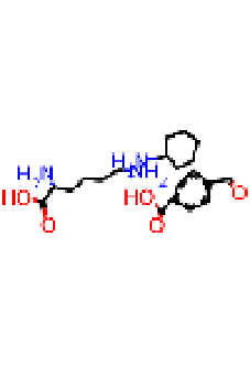 NC1CCCCC1.NCCCC[C@H](N)C(=O)O.O=Cc1ccc(C(=O)O)cc1